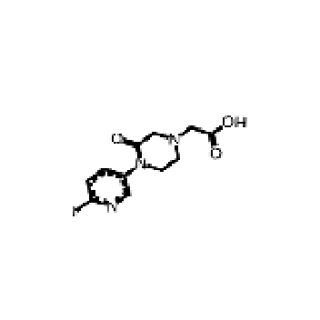 O=C(O)CN1CCN(c2ccc(I)nc2)C(=O)C1